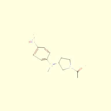 CC(=O)N1CC[C@H](N(C)c2ccc([N+](=O)[O-])cc2)C1